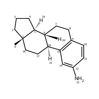 C[C@@]12CCC[C@H]1[C@@H]1CCc3ccc(N)cc3[C@H]1CC2